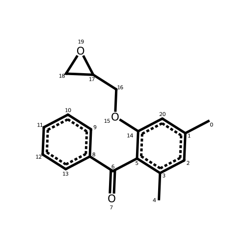 Cc1cc(C)c(C(=O)c2ccccc2)c(OCC2CO2)c1